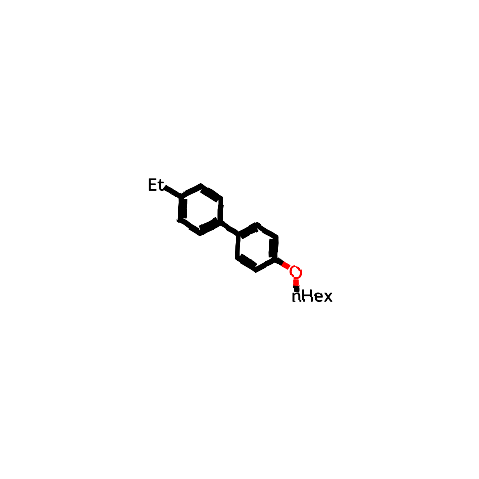 CCCCCCOc1ccc(-c2ccc(CC)cc2)cc1